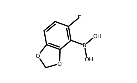 OB(O)c1c(F)ccc2c1OCO2